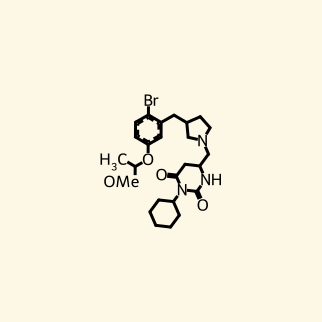 COC(C)Oc1ccc(Br)c(CC2CCN(CC3CC(=O)N(C4CCCCC4)C(=O)N3)C2)c1